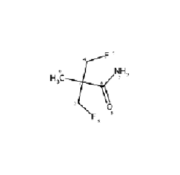 CC(CF)(CF)C(N)=O